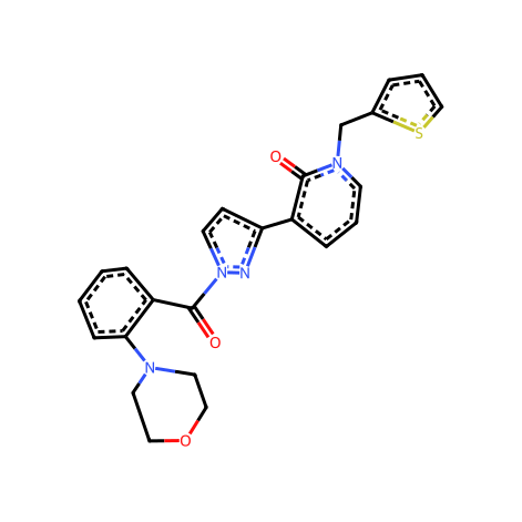 O=C(c1ccccc1N1CCOCC1)n1ccc(-c2cccn(Cc3cccs3)c2=O)n1